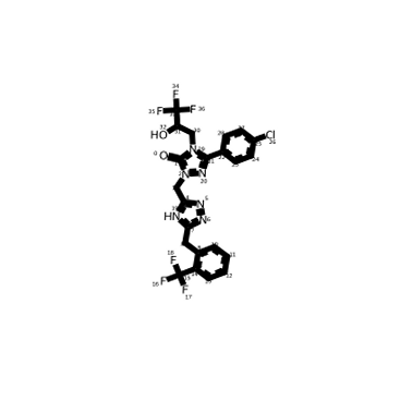 O=c1n(Cc2nnc(Cc3ccccc3C(F)(F)F)[nH]2)nc(-c2ccc(Cl)cc2)n1CC(O)C(F)(F)F